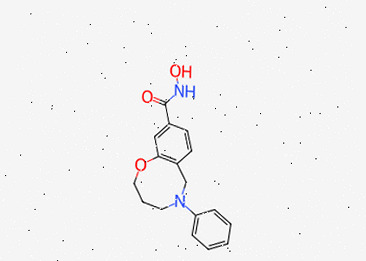 O=C(NO)c1ccc2c(c1)OCCCN(c1ccccc1)C2